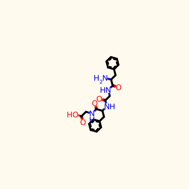 NC(Cc1ccccc1)C(=O)NCC(=O)NC(Cc1ccccc1)C(=O)NCC(=O)O